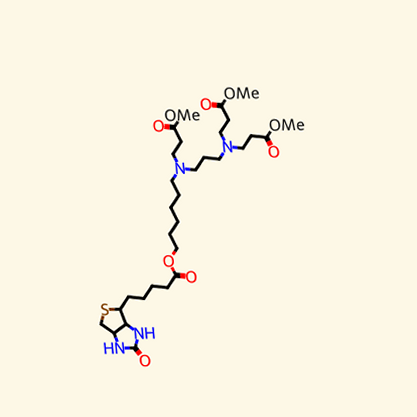 COC(=O)CCN(CCCCCCOC(=O)CCCCC1SCC2NC(=O)NC21)CCCN(CCC(=O)OC)CCC(=O)OC